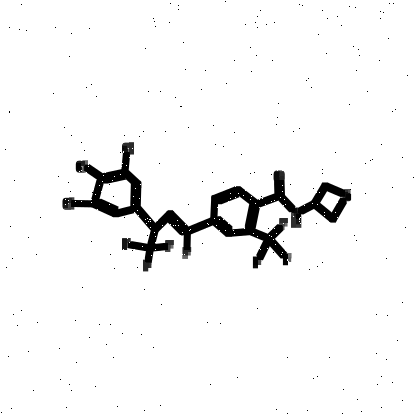 O=C(NC1CSC1)c1ccc(C(F)=CC(c2cc(Cl)c(Cl)c(Cl)c2)C(F)(F)F)cc1C(F)(F)F